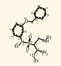 CCNCC(C(N)OCC)S(=O)(=O)N(CC)c1cccc(OCc2ccccc2)c1